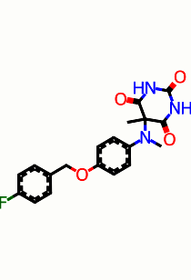 CN(c1ccc(OCc2ccc(F)cc2)cc1)C1(C)C(=O)NC(=O)NC1=O